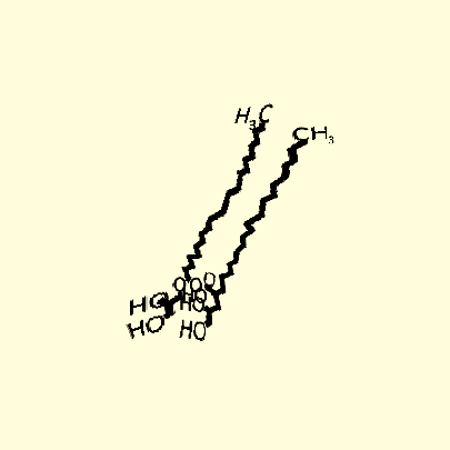 CCCCCCCCCCCCCCCCCCCCC(CC(O)CO)C(=O)O.CCCCCCCCCCCCCCCCCCCCCC(=O)OCC(O)CO